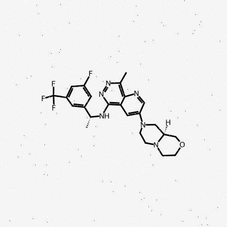 Cc1nnc(N[C@H](C)c2cc(F)cc(C(F)(F)F)c2)c2cc(N3CCN4CCOC[C@@H]4C3)cnc12